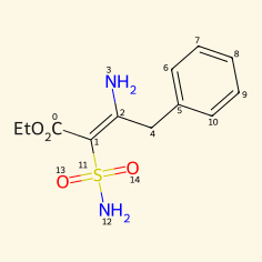 CCOC(=O)/C(=C(\N)Cc1ccccc1)S(N)(=O)=O